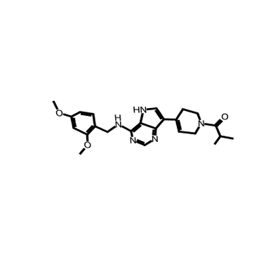 COc1ccc(CNc2ncnc3c(C4=CCN(C(=O)C(C)C)CC4)c[nH]c23)c(OC)c1